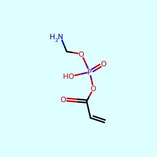 C=CC(=O)OP(=O)(O)OCN